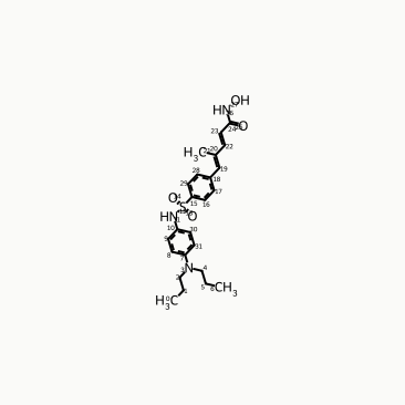 CCCN(CCC)c1ccc(NS(=O)(=O)c2ccc(/C=C(C)/C=C/C(=O)NO)cc2)cc1